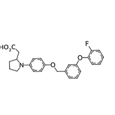 O=C(O)CC1CCCN1c1ccc(OCc2cccc(Oc3ccccc3F)c2)cc1